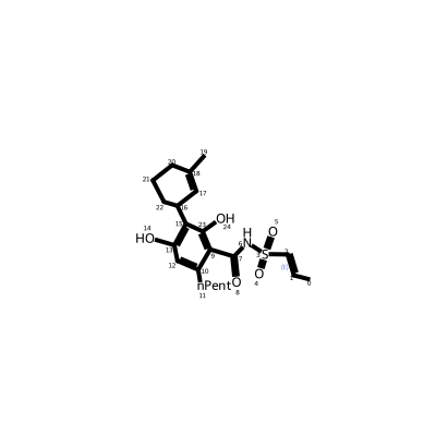 C/C=C/S(=O)(=O)NC(=O)c1c(CCCCC)cc(O)c(C2C=C(C)CCC2)c1O